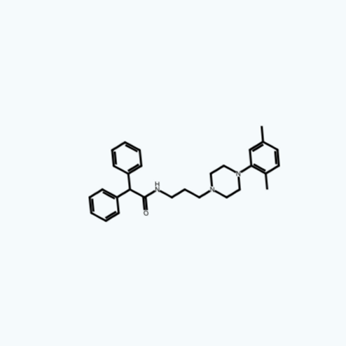 Cc1ccc(C)c(N2CCN(CCCNC(=O)C(c3ccccc3)c3ccccc3)CC2)c1